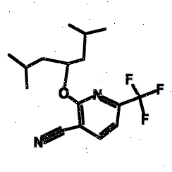 CC(C)CC(CC(C)C)Oc1nc(C(F)(F)F)ccc1C#N